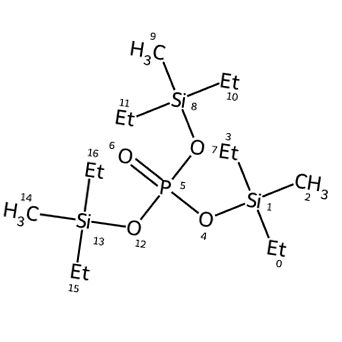 CC[Si](C)(CC)OP(=O)(O[Si](C)(CC)CC)O[Si](C)(CC)CC